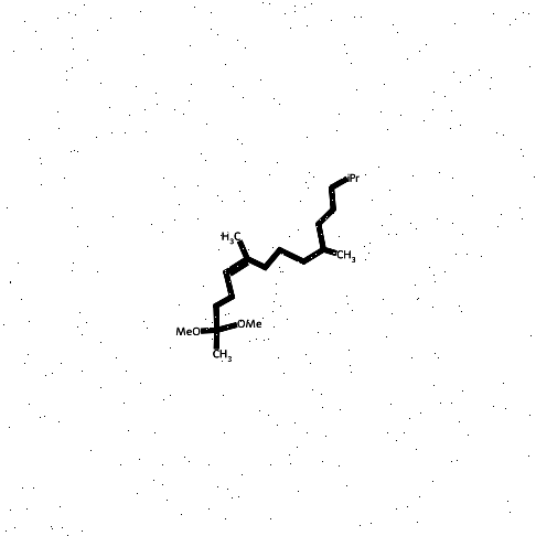 COC(C)(CC/C=C(/C)CCCC(C)CCCC(C)C)OC